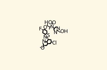 COc1cnc2c(-c3nc4cc(F)c(OC(C)C(C)N(C(=O)O)c5cnc(CO)nc5)cc4s3)cc(Cl)cc2c1